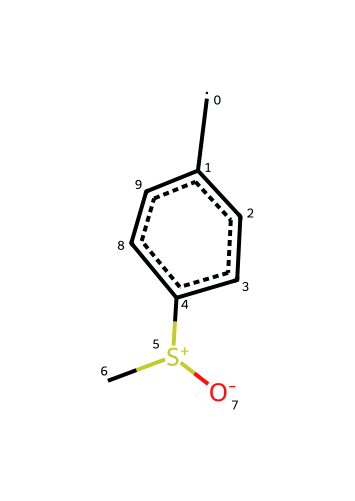 [CH2]c1ccc([S+](C)[O-])cc1